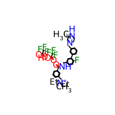 CC[N+](C)(CC)Cc1cccc(C(=O)NCc2ccc(F)c(-c3cccc(CN4CCN[C@@H](C)C4)c3)c2)c1.O=C(O)C(F)(F)F.O=C([O-])C(F)(F)F